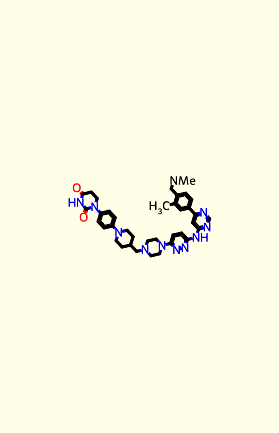 CNCc1ccc(-c2cc(Nc3ccc(N4CCN(CC5CCN(c6ccc(N7CCC(=O)NC7=O)cc6)CC5)CC4)nn3)ncn2)cc1C